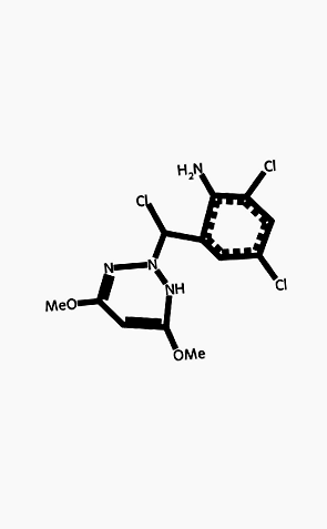 COC1=CC(OC)=NN(C(Cl)c2cc(Cl)cc(Cl)c2N)N1